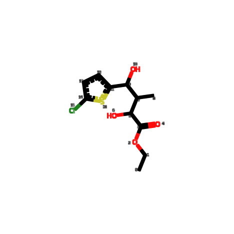 CCOC(=O)C(O)C(C)C(O)c1ccc(Cl)s1